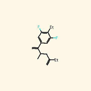 C=C(CC)CC(C)C(=C)c1cc(F)c(CC)c(F)c1